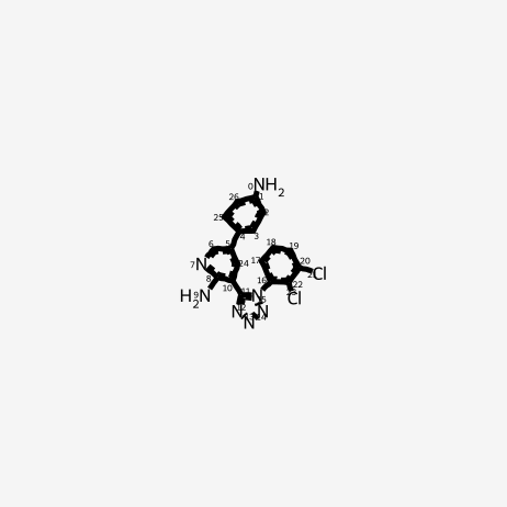 Nc1ccc(-c2cnc(N)c(-c3nnnn3-c3cccc(Cl)c3Cl)c2)cc1